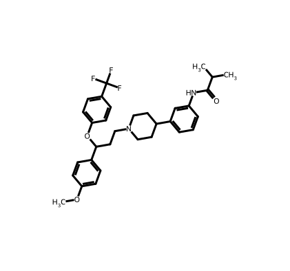 COc1ccc(C(CCN2CCC(c3cccc(NC(=O)C(C)C)c3)CC2)Oc2ccc(C(F)(F)F)cc2)cc1